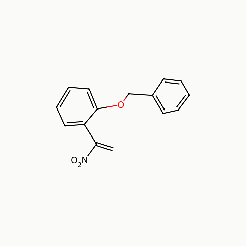 C=C(c1ccccc1OCc1ccccc1)[N+](=O)[O-]